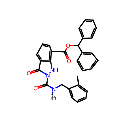 Cc1ccccc1CN(C(=O)n1[nH]c2c(C(=O)OC(c3ccccc3)c3ccccc3)cccc2c1=O)C(C)C